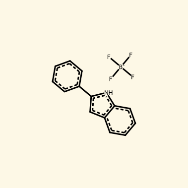 F[B-](F)(F)F.c1ccc(-c2cc3ccccc3[nH]2)cc1